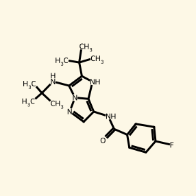 CC(C)(C)Nc1c(C(C)(C)C)[nH]c2c(NC(=O)c3ccc(F)cc3)cnn12